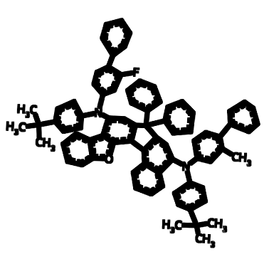 Cc1cc(N(c2ccc(C(C)(C)C)cc2)c2cc3c(c4ccccc24)-c2c(cc(N(c4ccc(C(C)(C)C)cc4)c4ccc(-c5ccccc5)c(F)c4)c4c2oc2ccccc24)C3(c2ccccc2)c2ccccc2)ccc1-c1ccccc1